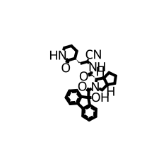 N#C[C@H](C[C@H]1CCCNC1=O)NC(=O)[C@@H]1[C@@H]2CCC[C@@H]2CN1C(=O)C1(O)c2ccccc2-c2ccccc21